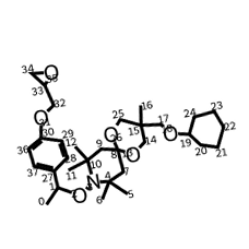 CC(ON1C(C)(C)CC2(CC1(C)C)OCC(C)(COC1CCCCC1)CO2)c1ccc(OCC2CO2)cc1